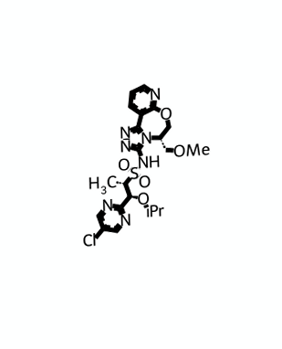 COC[C@H]1COc2ncccc2-c2nnc(NS(=O)(=O)[C@@H](C)[C@@H](OC(C)C)c3ncc(Cl)cn3)n21